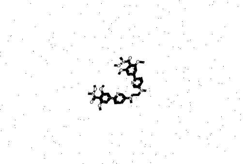 COc1cc(-c2ccc(N(C)CCN(C)c3ccc(-c4cc(OC)c(C(=O)N(C)OC)c(OC)c4)nc3)cn2)cc(OC)c1C(=O)N(C)OC